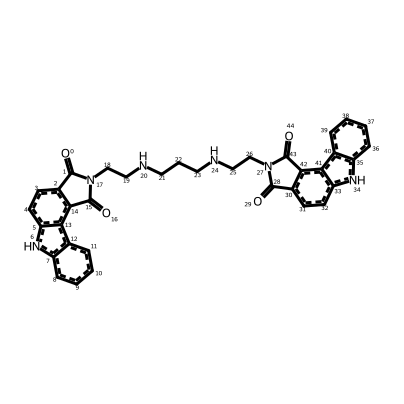 O=C1c2ccc3[nH]c4ccccc4c3c2C(=O)N1CCNCCCNCCN1C(=O)c2ccc3[nH]c4ccccc4c3c2C1=O